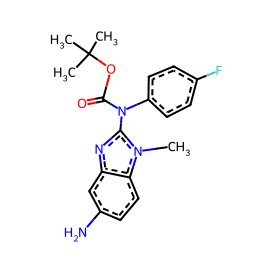 Cn1c(N(C(=O)OC(C)(C)C)c2ccc(F)cc2)nc2cc(N)ccc21